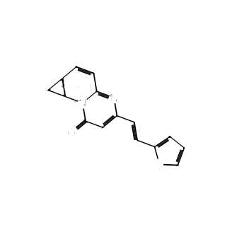 O=C(O)C12C=Cc3nc(/C=C/c4cccs4)cc(=O)n3C1C2